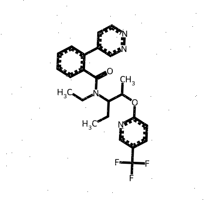 CCC(C(C)Oc1ccc(C(F)(F)F)cn1)N(CC)C(=O)c1ccccc1-c1ccnnc1